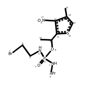 CCCNP(=O)(NCCBr)OC(C)c1scc(C)c1[N+](=O)[O-]